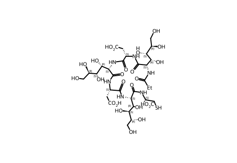 CCC(=O)N[C@H](C(=O)N[C@@H](CC(=O)O)C(=O)N[C@H](C(=O)N[C@@H](CC(=O)O)C(=O)N[C@H](C(=O)N[C@H](CS)C(=O)O)[C@@H](O)[C@H](O)[C@H](O)CO)[C@@H](O)[C@H](O)[C@H](O)CO)[C@@H](O)[C@H](O)[C@H](O)CO